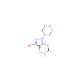 Brc1nn(C2CCOCC2)c2c1CNCC2